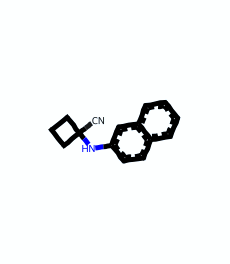 N#CC1(Nc2ccc3ccccc3c2)CCC1